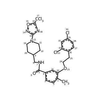 Cc1ccc(C(=O)NCC2CCN(c3noc(C(Cl)(Cl)Cl)n3)CC2)cc1OCCc1ccc(Cl)cc1Cl